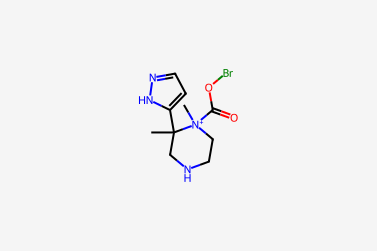 CC1(c2ccn[nH]2)CNCC[N+]1(C)C(=O)OBr